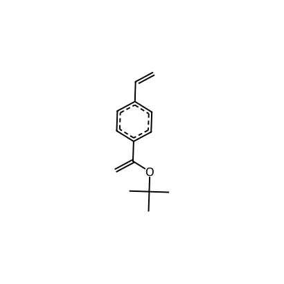 C=Cc1ccc(C(=C)OC(C)(C)C)cc1